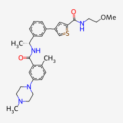 COCCNC(=O)c1cc(-c2cccc([C@@H](C)NC(=O)c3cc(N4CCN(C)CC4)ccc3C)c2)cs1